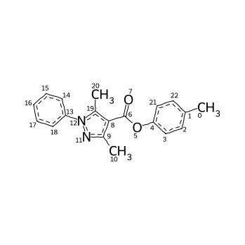 Cc1ccc(OC(=O)c2c(C)nn(-c3ccccc3)c2C)cc1